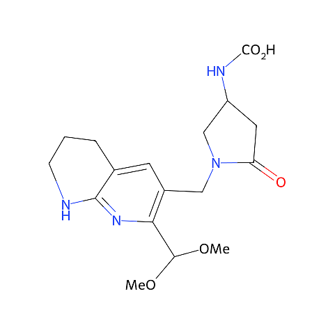 COC(OC)c1nc2c(cc1CN1CC(NC(=O)O)CC1=O)CCCN2